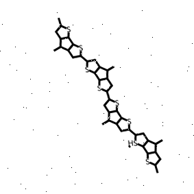 CC1CC2C(C)C3CC(C4CC5C(C)C6CC(C7CC8C(C)C9CC(C%10CC%11C(C)C%12CC(C)SC%12C%11[SH]%10C)SC9C8S7)SC6C5S4)SC3C2S1